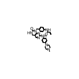 C=CC(=O)Nc1ccc(CN2C(=O)NCc3cnc(Nc4ccc(N5CCN(C)CC5)cc4)nc32)cc1